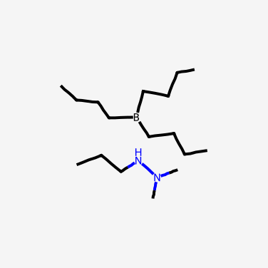 CCCCB(CCCC)CCCC.CCCNN(C)C